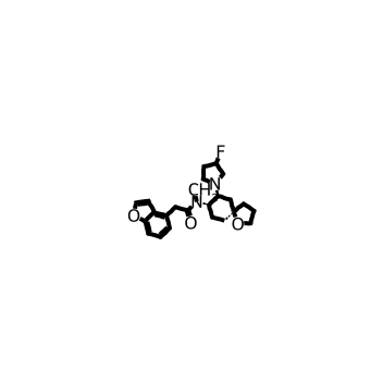 CN(C(=O)Cc1cccc2occc12)[C@H]1CC[C@@]2(CCCO2)C[C@@H]1N1CCC(F)C1